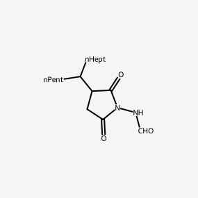 CCCCCCCC(CCCCC)C1CC(=O)N(NC=O)C1=O